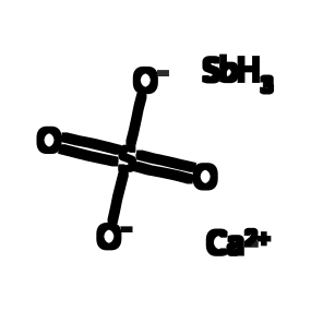 O=S(=O)([O-])[O-].[Ca+2].[SbH3]